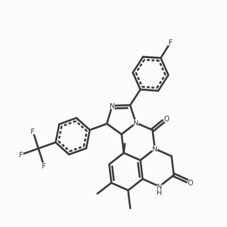 CC1=CC2(C)C3=C(NC(=O)CN3C(=O)N3C(c4ccc(F)cc4)=NC(c4ccc(C(F)(F)F)cc4)C32)C1C